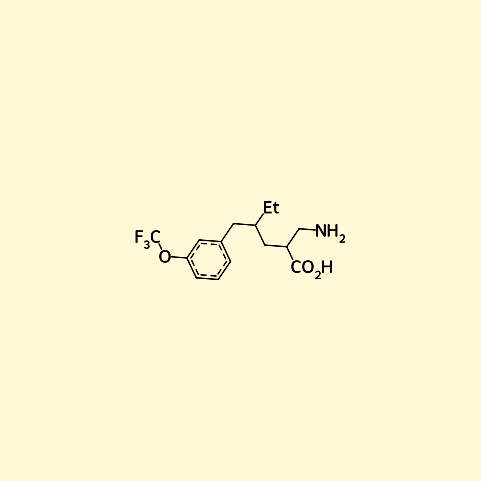 CCC(Cc1cccc(OC(F)(F)F)c1)CC(CN)C(=O)O